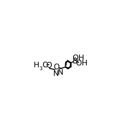 COCc1nnc(-c2ccc(B(O)O)cc2)o1